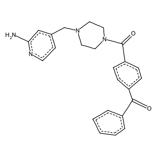 Nc1cc(CN2CCN(C(=O)c3ccc(C(=O)c4ccccc4)cc3)CC2)ccn1